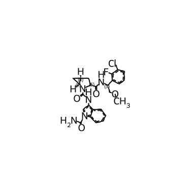 COC[C@@H](NC(=O)[C@@H]1C[C@H]2C[C@H]2N1C(=O)Nc1cn(C(N)=O)c2ccccc12)c1cccc(Cl)c1F